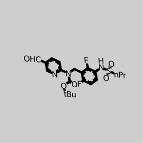 CCCS(=O)(=O)Nc1ccc(F)c(CN(C(=O)OC(C)(C)C)c2ccc(C=O)cn2)c1F